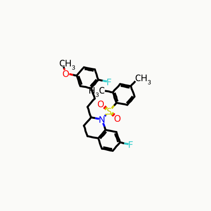 COc1ccc(F)c(CCC2CCc3ccc(F)cc3N2S(=O)(=O)c2ccc(C)cc2C)c1